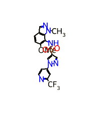 COc1ccc2cnn(C)c2c1NS(=O)(=O)c1cnn(-c2ccnc(C(F)(F)F)c2)c1